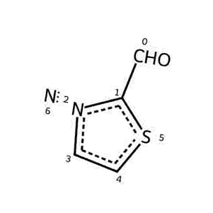 O=Cc1nccs1.[N]